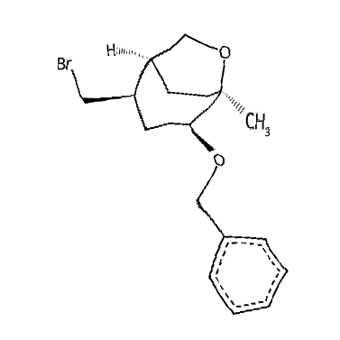 C[C@]12C[C@H](CO1)[C@H](CBr)C[C@@H]2OCc1ccccc1